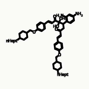 CCCCCCCC1CCC(COc2ccc(C=CC(=O)CC(c3ccc(N)cc3N)C(O)(O)C(=O)C=Cc3ccc(OCC4CCC(CCCCCCC)CC4)cc3)cc2)CC1